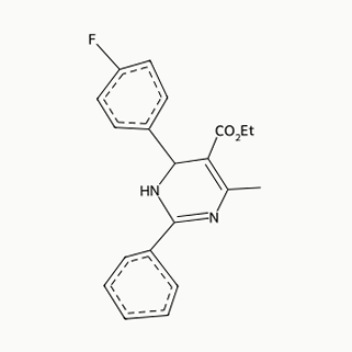 CCOC(=O)C1=C(C)N=C(c2ccccc2)NC1c1ccc(F)cc1